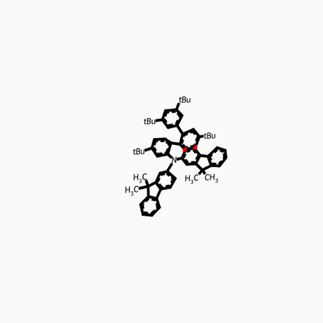 CC(C)(C)c1cc(-c2cc(C(C)(C)C)ccc2-c2ccc(C(C)(C)C)cc2N(c2ccc3c(c2)C(C)(C)c2ccccc2-3)c2ccc3c(c2)C(C)(C)c2ccccc2-3)cc(C(C)(C)C)c1